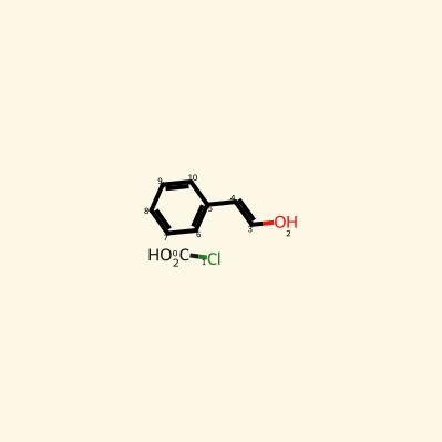 O=C(O)Cl.OC=Cc1ccccc1